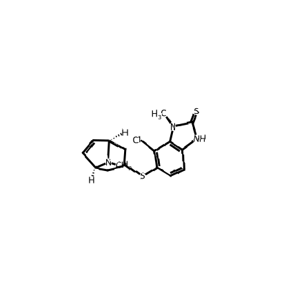 CN1[C@@H]2C=C[C@H]1CC(Sc1ccc3[nH]c(=S)n(C)c3c1Cl)C2